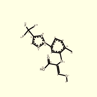 CO/C=C(\Oc1cc(-n2ncc(C(F)(F)F)n2)ccc1C)C(=O)O